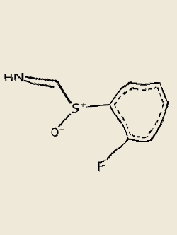 N=C[S+]([O-])c1ccccc1F